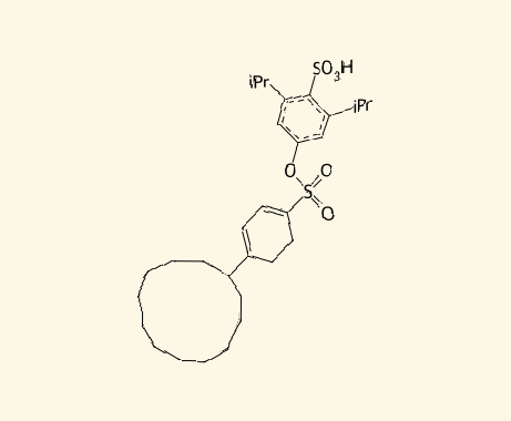 CC(C)c1cc(OS(=O)(=O)C2=CC=C(C3CCCCCCCCCCC3)CC2)cc(C(C)C)c1S(=O)(=O)O